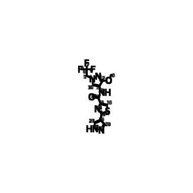 COc1nn(CC(F)(F)F)cc1NC(=O)c1csc(-c2cn[nH]c2)n1